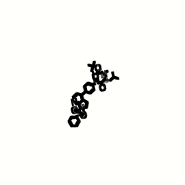 CC(C)C[C@H](C(=O)Nc1ccc(-c2ccnc3c2ccn3S(=O)(=O)c2ccccc2)cc1)N(C)C(=O)OC(C)(C)C